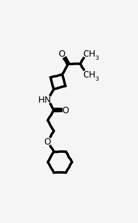 CC(C)C(=O)C1CC(NC(=O)CCOC2CCCCC2)C1